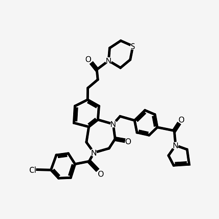 O=C(CCc1ccc2c(c1)N(Cc1ccc(C(=O)N3CC=CC3)cc1)C(=O)CN(C(=O)c1ccc(Cl)cc1)C2)N1CCSCC1